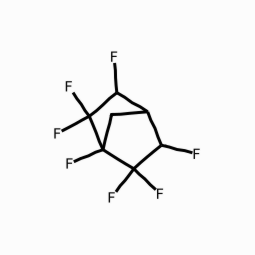 F[C]1C2CC(F)(C1(F)F)C(F)(F)C2F